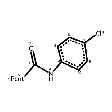 CCCCCC(=O)Nc1ccc(Cl)cc1